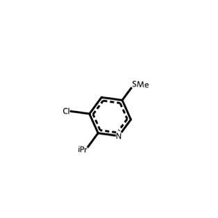 CSc1cnc(C(C)C)c(Cl)c1